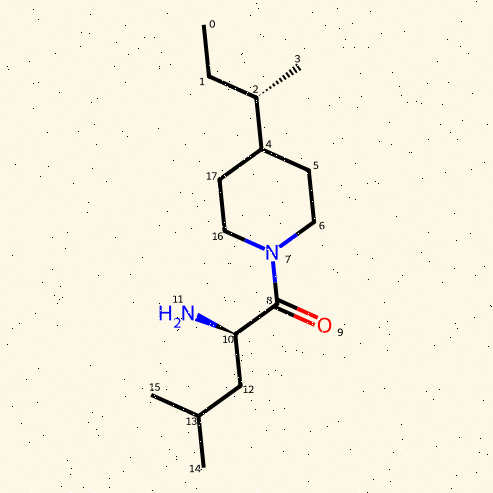 CC[C@H](C)C1CCN(C(=O)[C@H](N)CC(C)C)CC1